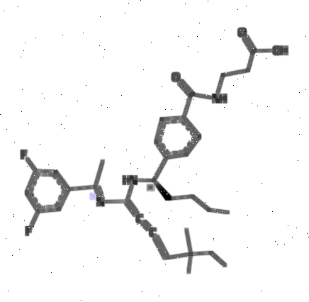 CCCC[C@@H](NC(=C=C=CC(C)(C)CC)/N=C(\C)c1cc(F)cc(F)c1)c1ccc(C(=O)NCCC(=O)O)cc1